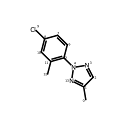 Cc1cnn(-c2ccc(Cl)cc2C)n1